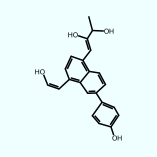 CC(O)/C(O)=C/c1ccc(/C=C\O)c2cc(-c3ccc(O)cc3)ccc12